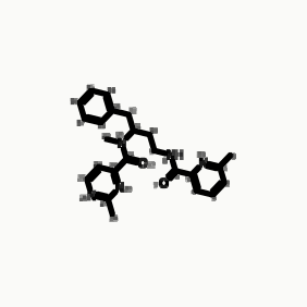 Cc1cccc(C(=O)NCCC(Cc2ccccc2)N(C)C(=O)c2ccnc(C)n2)n1